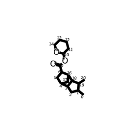 CC1CC2C3CC(C(=O)OC4CCCCO4)C(C3)C2C1C